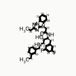 CCc1cccc(CNC[C@@H](O)[C@H](Cc2cc(F)cc(F)c2)NC(=O)Cn2c3ccccc3n3nc(CC)nc23)c1